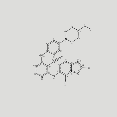 CCN1CCN(c2ccc(Nc3ncnc(Oc4ccc5[nH]c(C)cc5c4F)c3C#N)nc2)CC1